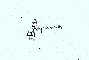 NCCOCCOCCNC(=O)OC1C2OP(=O)(O)OCC2OC1n1cnc2c(N)ncnc21